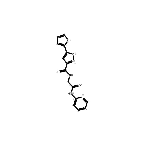 O=C(CNC(=O)c1cc(-c2ccco2)on1)Nc1ccccn1